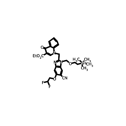 CCOC(=O)c1cn(Cc2nc3cc(OCC(F)F)c(C#N)cc3n2COCC[SH](C)(C)(C)C)c2ccccc2c1=O